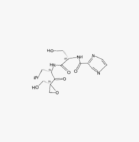 CC(C)C[C@H](NC(=O)[C@H](CO)NC(=O)c1cnccn1)C(=O)[C@]1(CO)CO1